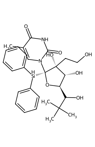 Cc1cn([C@]2([SiH](c3ccccc3)c3ccccc3)O[C@H](C(O)C(C)(C)C)[C@@H](O)[C@]2(O)CCO)c(=O)[nH]c1=O